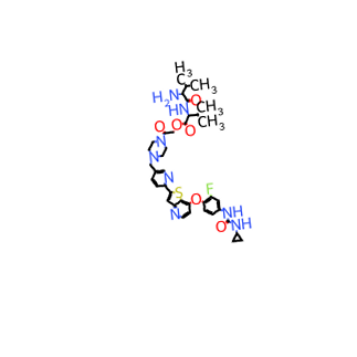 CC(C)[C@H](N)C(=O)N[C@H](C(=O)OCC(=O)N1CCN(Cc2ccc(-c3cc4nccc(Oc5ccc(NC(=O)NC6CC6)cc5F)c4s3)nc2)CC1)C(C)C